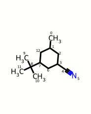 CC1CC(C#N)CC(C(C)(C)C)C1